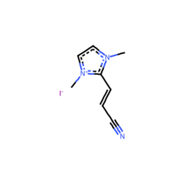 Cn1cc[n+](C)c1C=CC#N.[I-]